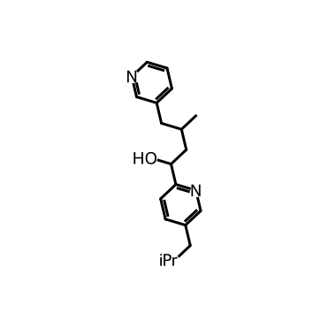 CC(C)Cc1ccc(C(O)CC(C)Cc2cccnc2)nc1